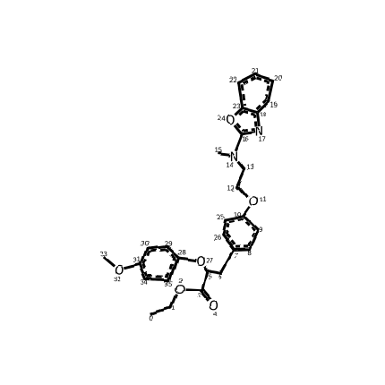 CCOC(=O)C(Cc1ccc(OCCN(C)c2nc3ccccc3o2)cc1)Oc1ccc(OC)cc1